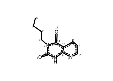 CCCCn1c(=O)[nH]c2ncccc2c1=O